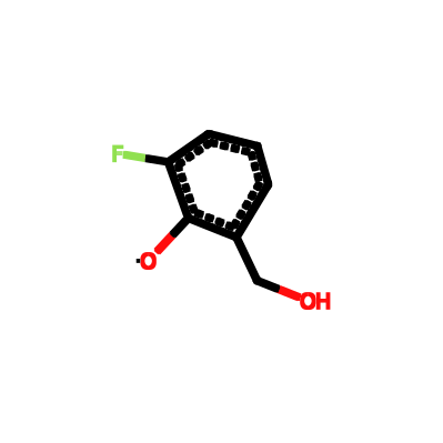 [O]c1c(F)cccc1CO